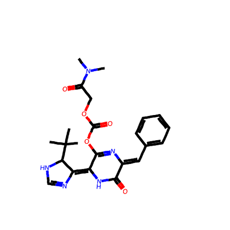 CN(C)C(=O)COC(=O)Oc1n/c(=C\c2ccccc2)c(=O)[nH]/c1=C1\N=CNC1C(C)(C)C